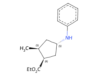 CCOC(=O)[C@@H]1C[C@@H](Nc2ccccc2)C[C@@H]1C